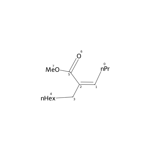 CCCC=C(CCCCCCC)C(=O)OC